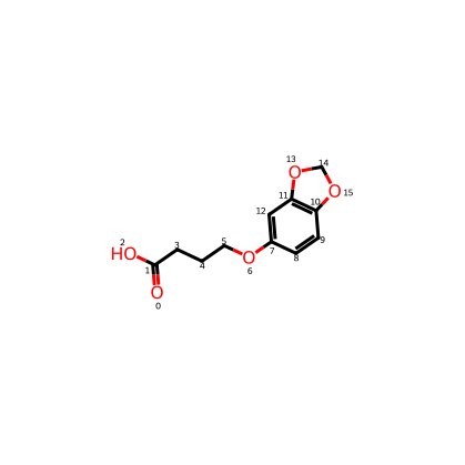 O=C(O)CCCOc1ccc2c(c1)OCO2